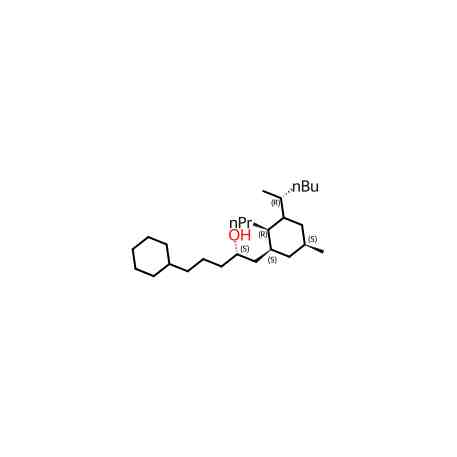 CCCC[C@@H](C)C1C[C@@H](C)C[C@@H](C[C@@H](O)CCCC2CCCCC2)[C@H]1CCC